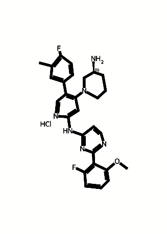 COc1cccc(F)c1-c1nccc(Nc2cc(N3CCC[C@H](N)C3)c(-c3ccc(F)c(C)c3)cn2)n1.Cl